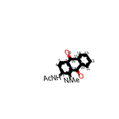 CNc1c(NC(C)=O)ccc2c1C(=O)c1ccccc1C2=O